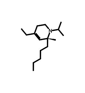 CCCCC[C@]1(C)C=C(CC)CCN1C(C)C